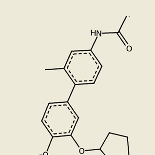 [CH2]C(=O)Nc1ccc(-c2ccc(OC)c(OC3CCCC3)c2)c(C)c1